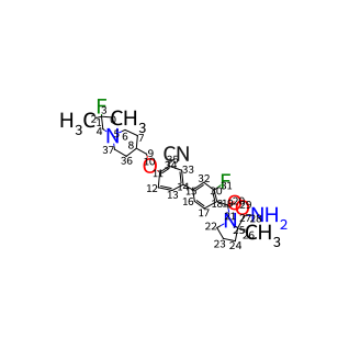 CC(C)(F)CN1CCC(COc2ccc(-c3ccc(C(=O)N4CCC[C@@]4(C)C(N)=O)c(F)c3)cc2C#N)CC1